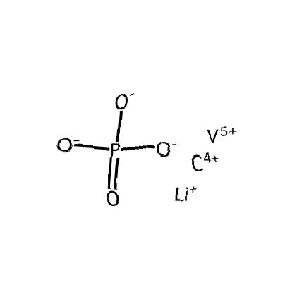 O=P([O-])([O-])[O-].[C+4].[Li+].[V+5]